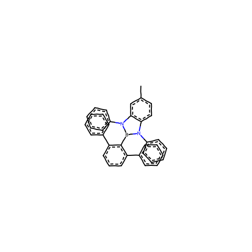 Cc1ccc2c(c1)N(c1ccccc1)B(c1c(-c3ccccc3)cccc1-c1ccccc1)N2c1ccccc1